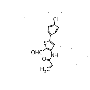 C=CC(=O)Nc1cc(-c2ccc(Cl)cc2)sc1C=O